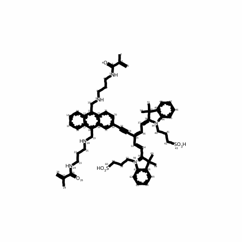 C=C(C)C(=O)NCCCNCc1c2ccccc2c(CNCCCNC(=O)C(=C)C)c2cc(C#CC(=C\C=C3/N(CCCS(=O)(=O)O)c4ccccc4C3(C)C)/C=C/C3=[N+](CCCS(=O)(=O)O)c4ccccc4C3(C)C)ccc12